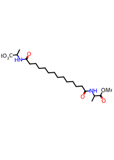 COC(=O)C(C)NC(=O)CCCCCCCCCCCCC(=O)NC(C)C(=O)O